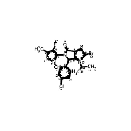 Cc1nn(C)c(N2C(=O)c3cc(Br)n(C(C)C)c3C2c2ccc(Cl)cc2)c1F